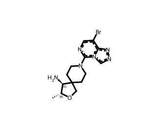 C[C@H]1OCC2(CCN(c3ncc(Br)c4nncn34)CC2)[C@@H]1N